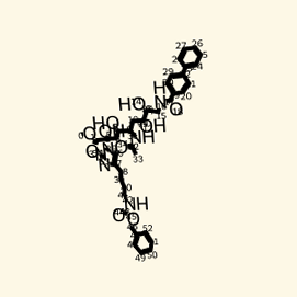 COC(=O)C(O)(CC(O)C(C[C@@H](O)[C@H](O)CNC(=O)c1ccc(-c2ccccc2)cc1)NC(C)=O)n1cc(CCCCNC(=O)OCc2ccccc2)nn1